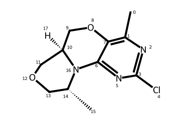 Cc1nc(Cl)nc2c1OC[C@@H]1COC[C@@H](C)N21